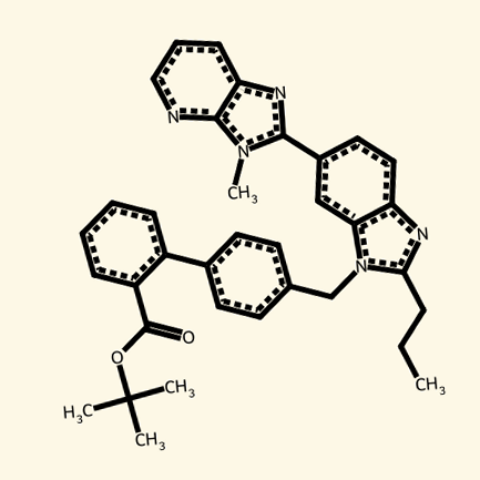 CCCc1nc2ccc(-c3nc4cccnc4n3C)cc2n1Cc1ccc(-c2ccccc2C(=O)OC(C)(C)C)cc1